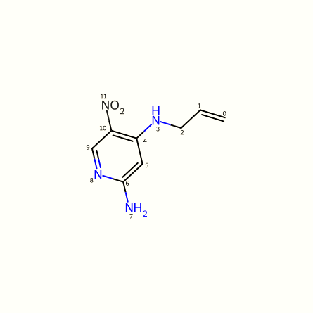 C=CCNc1cc(N)ncc1[N+](=O)[O-]